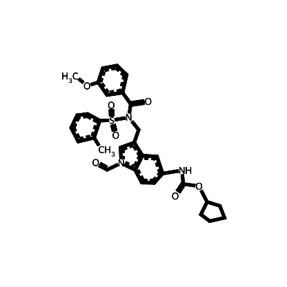 COc1cccc(C(=O)N(Cc2cn(C=O)c3ccc(NC(=O)OC4CCCC4)cc23)S(=O)(=O)c2ccccc2C)c1